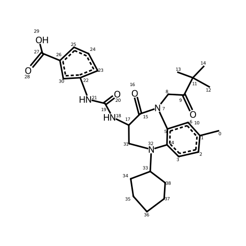 Cc1ccc2c(c1)N(CC(=O)C(C)(C)C)C(=O)C(NC(=O)Nc1cccc(C(=O)O)c1)CN2C1CCCCC1